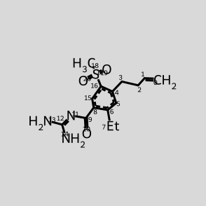 C=CCCc1cc(CC)c(C(=O)N=C(N)N)cc1S(C)(=O)=O